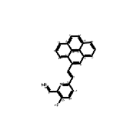 N=Cc1nc(/C=C/c2cc3cccc4ccc5cccc2c5c43)ccc1F